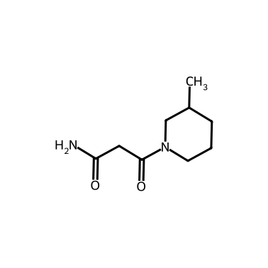 CC1CCCN(C(=O)CC(N)=O)C1